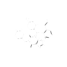 Cl.O=C(O)C=Cc1cccc(-n2cnc3c(=O)n(CC4CCCCC4)c(=O)n(CC4CCCCC4)c32)c1